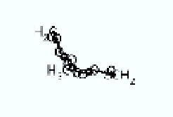 C=CC(=O)OCCCCOc1ccc(OCOc2ccc(OC(=O)c3ccc(OCCCCOC(=O)C=C)cc3)c(C)c2)cc1